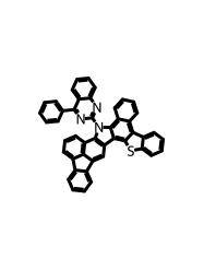 c1ccc(-c2nc(-n3c4c5cccc6c5c(cc4c4c5sc7ccccc7c5c5ccccc5c43)-c3ccccc3-6)nc3ccccc23)cc1